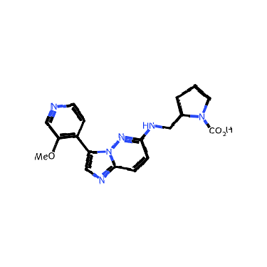 COc1cnccc1-c1cnc2ccc(NCC3CCCN3C(=O)O)nn12